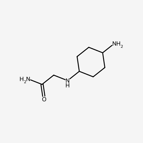 NC(=O)CNC1CCC(N)CC1